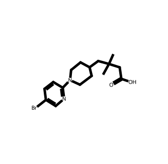 CC(C)(CC(=O)O)CC1CCN(c2ccc(Br)cn2)CC1